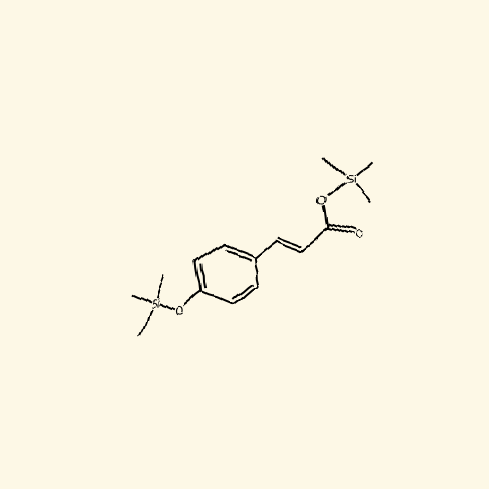 C[Si](C)(C)OC(=O)C=Cc1ccc(O[Si](C)(C)C)cc1